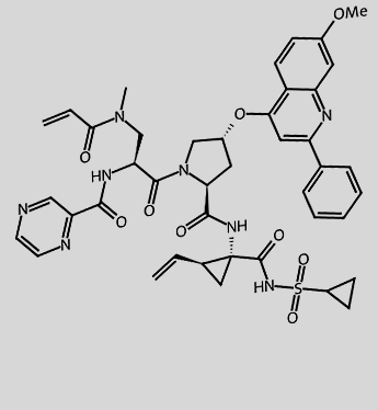 C=CC(=O)N(C)C[C@H](NC(=O)c1cnccn1)C(=O)N1C[C@H](Oc2cc(-c3ccccc3)nc3cc(OC)ccc23)C[C@H]1C(=O)N[C@]1(C(=O)NS(=O)(=O)C2CC2)C[C@H]1C=C